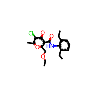 CCOCc1oc(C)c(Cl)c(=O)c1C(=O)Nc1c(CC)cccc1CC